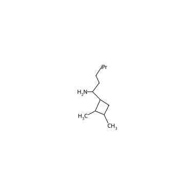 CC(C)CCC(N)C1CC(C)C1C